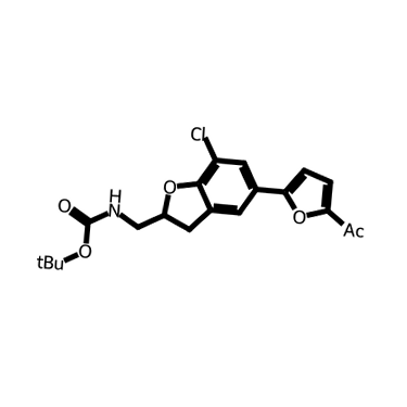 CC(=O)c1ccc(-c2cc(Cl)c3c(c2)CC(CNC(=O)OC(C)(C)C)O3)o1